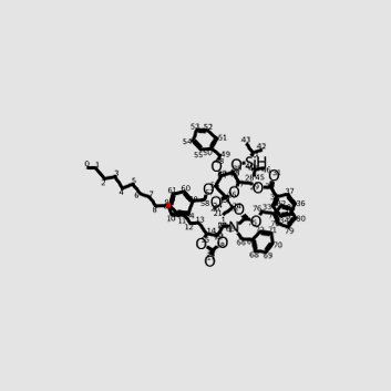 CCCCCCCCCCCCCCC1OC(=O)O[C@H]1[C@H](CC[C@]1(OC)OC(COC(=O)c2ccccc2)[C@H](O[SiH](C(C)C)C(C)C)[C@H](OCc2ccccc2)C1OCc1ccccc1)N(Cc1ccccc1)C(=O)OCc1ccccc1